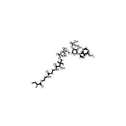 CC[C@H](C)C(=O)SCCNC(=O)CCNC(=O)[C@H](O)C(C)(C)COP(=O)(O)OP(=O)(O)OC[C@H]1O[C@@H](n2cnc3c(N)ncnc32)[C@H](O)[C@@H]1OP(=O)(O)O